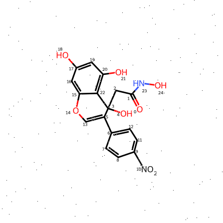 O=C(CC1(O)C(c2ccc([N+](=O)[O-])cc2)=COc2cc(O)cc(O)c21)NO